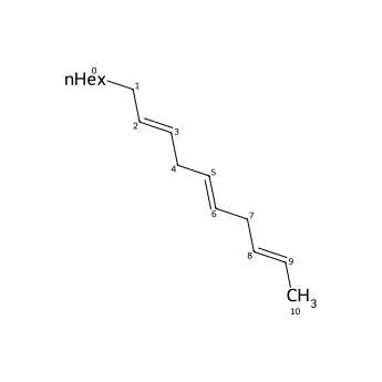 [CH2]CCCCCCC=CCC=CCC=CC